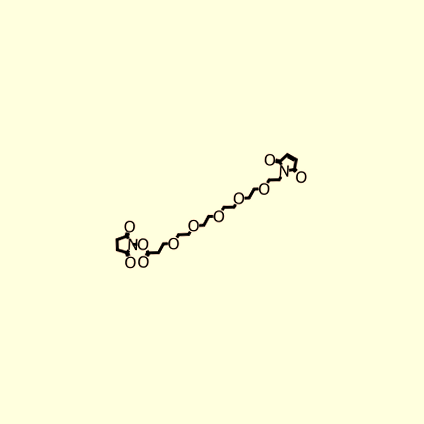 O=C(CCOCCOCCOCCOCCOCCN1C(=O)C=CC1=O)ON1C(=O)CCC1=O